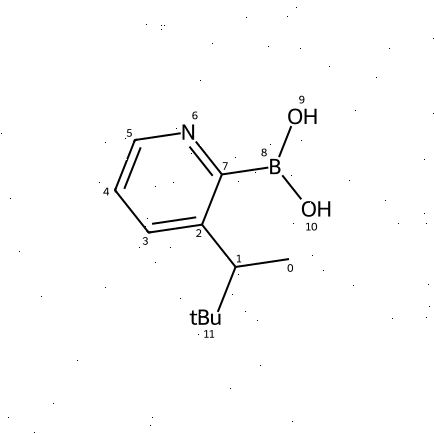 CC(c1cccnc1B(O)O)C(C)(C)C